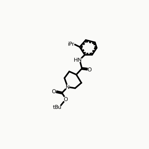 CC(C)c1ccccc1NC(=O)C1CCN(C(=O)OC(C)(C)C)CC1